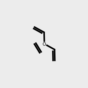 C=C.C=COC=C